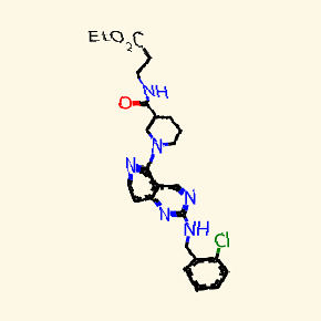 CCOC(=O)CCNC(=O)C1CCCN(c2nccc3nc(NCc4ccccc4Cl)ncc23)C1